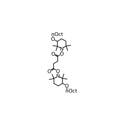 CCCCCCCCOC1CCC(C)(C)N(OC(=O)CCC(=O)ON2C(C)(C)CCC(OCCCCCCCC)C2(C)C)C1(C)C